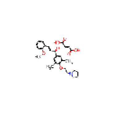 COc1ccccc1C=CC(=O)c1cc(C)c(OCCN2CCCC2)c(C)c1.O=C(O)C=CC(=O)O